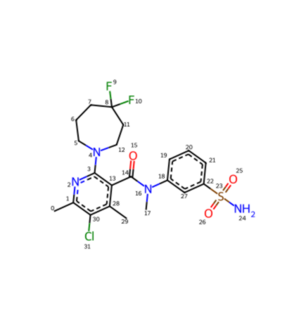 Cc1nc(N2CCCC(F)(F)CC2)c(C(=O)N(C)c2cccc(S(N)(=O)=O)c2)c(C)c1Cl